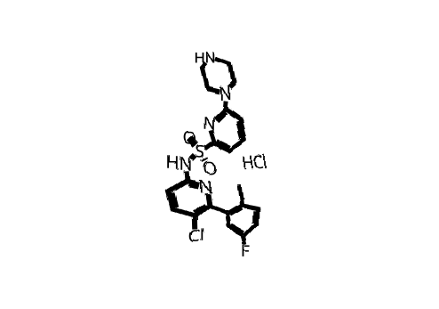 Cc1ccc(F)cc1-c1nc(NS(=O)(=O)c2cccc(N3CCNCC3)n2)ccc1Cl.Cl